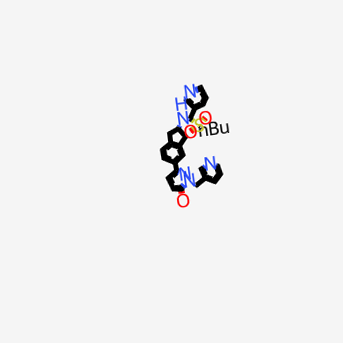 CCCCS(=O)(=O)C(NC1Cc2ccc(-c3ccc(=O)n(Cc4cccnc4)n3)cc2C1)c1cccnc1